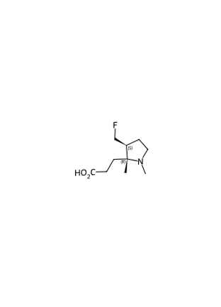 CN1CC[C@H](CF)[C@@]1(C)CCC(=O)O